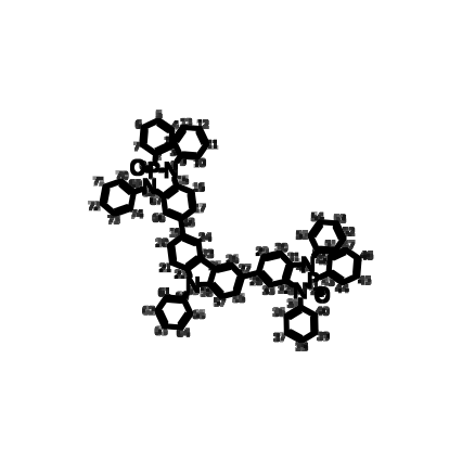 O=P1(c2ccccc2)N(c2ccccc2)c2ccc(-c3ccc4c(c3)c3cc(-c5ccc6c(c5)N(c5ccccc5)P(=O)(c5ccccc5)N6c5ccccc5)ccc3n4-c3ccccc3)cc2N1c1ccccc1